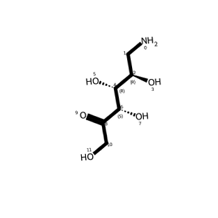 NC[C@@H](O)[C@@H](O)[C@H](O)C(=O)CO